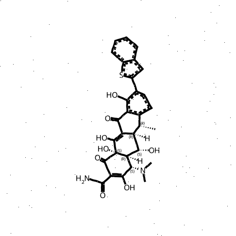 C[C@H]1c2ccc(-c3cc4ccccc4s3)c(O)c2C(=O)C2=C(O)[C@]3(O)C(=O)C(C(N)=O)=C(O)[C@@H](N(C)C)[C@@H]3[C@@H](O)[C@@H]21